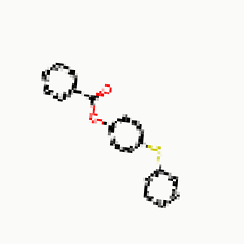 O=C(Oc1ccc(Sc2ccccc2)cc1)c1ccccc1